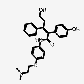 CN(C)CCOc1ccc(NC(=O)C(=C(CCO)c2ccccc2)c2ccc(O)cc2)cc1